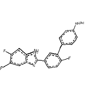 CC(=O)Nc1ccc(-c2cc(-c3nc4cc(F)c(F)cc4[nH]3)ccc2F)cc1